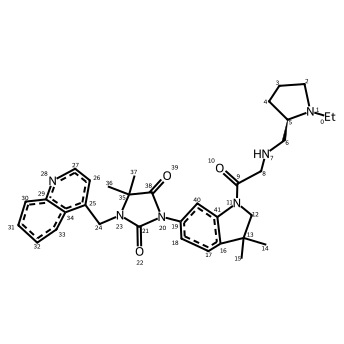 CCN1CCC[C@@H]1CNCC(=O)N1CC(C)(C)c2ccc(N3C(=O)N(Cc4ccnc5ccccc45)C(C)(C)C3=O)cc21